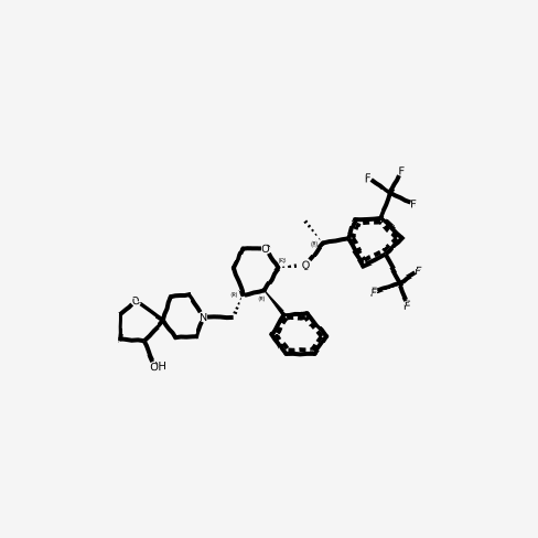 C[C@@H](O[C@H]1OCC[C@@H](CN2CCC3(CC2)OCCC3O)[C@@H]1c1ccccc1)c1cc(C(F)(F)F)cc(C(F)(F)F)c1